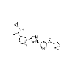 Cc1ccc(C(=O)NC2CC2)cc1-c1cnn(-c2cncc(NC3CCOC3)c2)c1